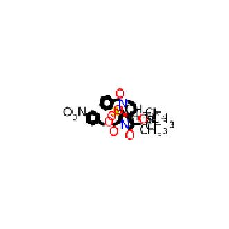 CC(O[Si](C)(C)C)C1C(=O)N2C(C(=O)OCc3ccc([N+](=O)[O-])cc3)=C(S(=O)(=O)c3ccccc3C(=O)N3CCCCCC3)C(C)[C@@H]12